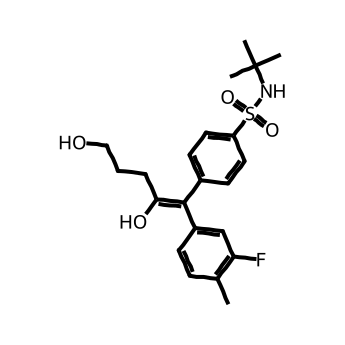 Cc1ccc(C(=C(O)CCCO)c2ccc(S(=O)(=O)NC(C)(C)C)cc2)cc1F